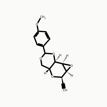 C#C[C@H]1O[C@@H]2COC(c3ccc(OC)cc3)O[C@H]2[C@H]2O[C@H]21